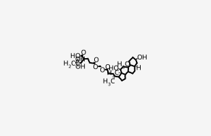 C=P(O)(O)CC(CCC(=O)OCOC(=O)CC[C@@H](C)C1CCC2C3CC[C@@H]4C[C@H](O)CC[C@]4(C)C3C[C@H](O)[C@@]21C)C(=O)O